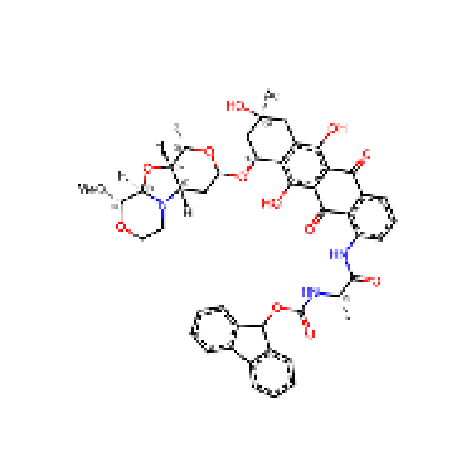 CO[C@H]1OCCN2[C@@H]1O[C@@H]1[C@H](C)OC(O[C@H]3C[C@](O)(C(C)=O)Cc4c(O)c5c(c(O)c43)C(=O)c3c(NC(=O)[C@H](C)NC(=O)OC4c6ccccc6-c6ccccc64)cccc3C5=O)C[C@@H]12